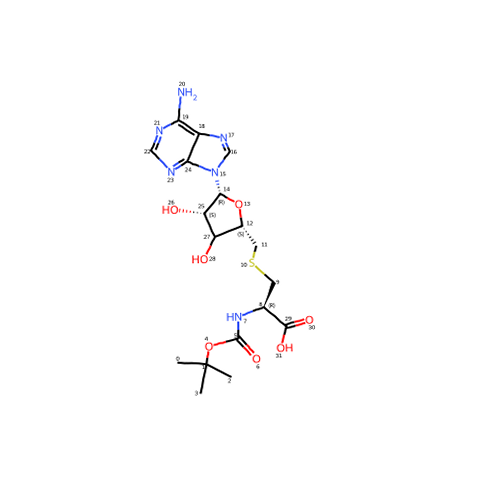 CC(C)(C)OC(=O)N[C@@H](CSC[C@H]1O[C@@H](n2cnc3c(N)ncnc32)[C@@H](O)C1O)C(=O)O